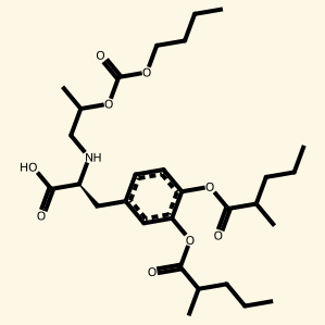 CCCCOC(=O)OC(C)CN[C@@H](Cc1ccc(OC(=O)C(C)CCC)c(OC(=O)C(C)CCC)c1)C(=O)O